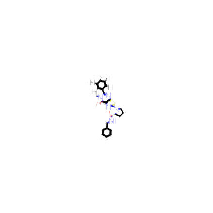 [2H]c1c([2H])c([2H])c(-c2nc3sc(N4CCC[C@@H]4C(=O)NCc4ccccc4)nc3c(=O)n2C)c([2H])c1[2H]